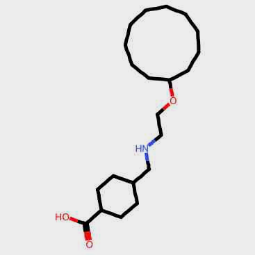 O=C(O)C1CCC(CNCCOC2CCCCCCCCCC2)CC1